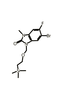 Cn1c(=O)n(COCC[Si](C)(C)C)c2cc(Br)c(F)cc21